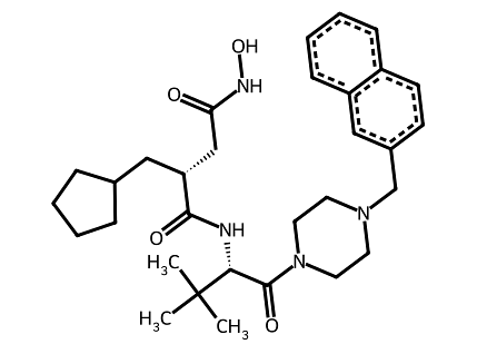 CC(C)(C)[C@H](NC(=O)[C@@H](CC(=O)NO)CC1CCCC1)C(=O)N1CCN(Cc2ccc3ccccc3c2)CC1